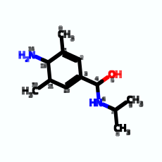 CC1=CC(C(O)NC(C)C)=CC(C)C1N